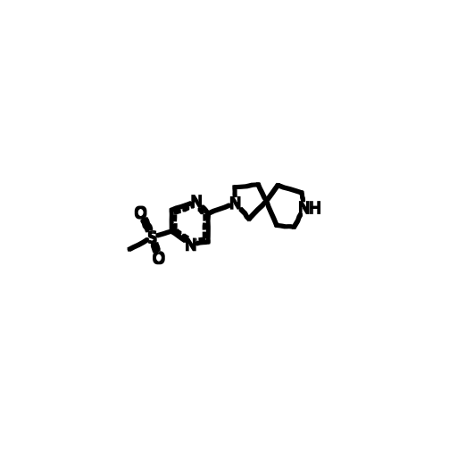 CS(=O)(=O)c1cnc(N2CCC3(CCNCC3)C2)cn1